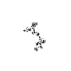 N#C[C@@H]1CC(F)(F)CC1C(=O)CNC(=O)c1ccnc2ccc(OCCCN3CCN(C(=O)CN4CCN(CC(=O)O)CCN(CC(=O)O)CC4)CC3)cc12